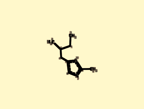 CCC(C)Cc1cnc(C)s1